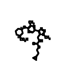 Cc1nc(-c2nnn(C)c2CNC(=O)OCCC2CC2)cnc1O[C@H]1CCC[C@H](C(=O)O)C1